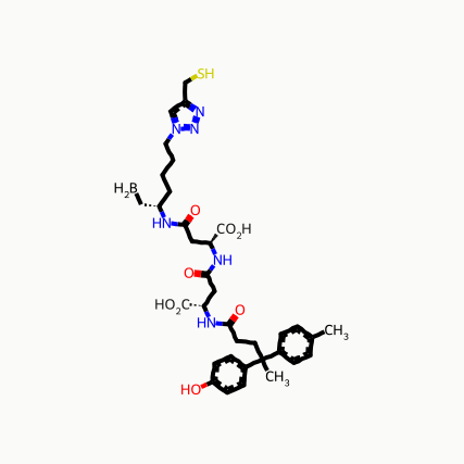 BC[C@H](CCCCn1cc(CS)nn1)NC(=O)C[C@H](NC(=O)C[C@H](NC(=O)CCC(C)(c1ccc(C)cc1)c1ccc(O)cc1)C(=O)O)C(=O)O